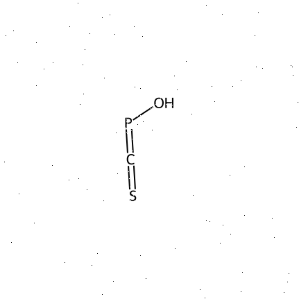 OP=C=S